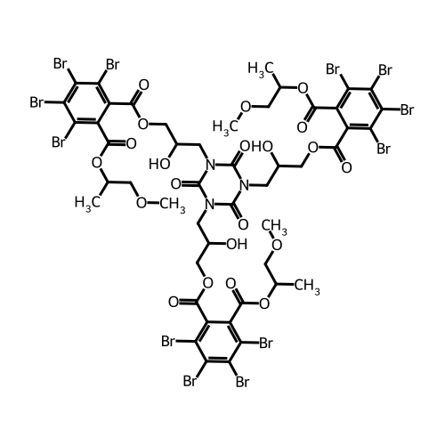 COCC(C)OC(=O)c1c(Br)c(Br)c(Br)c(Br)c1C(=O)OCC(O)Cn1c(=O)n(CC(O)COC(=O)c2c(Br)c(Br)c(Br)c(Br)c2C(=O)OC(C)COC)c(=O)n(CC(O)COC(=O)c2c(Br)c(Br)c(Br)c(Br)c2C(=O)OC(C)COC)c1=O